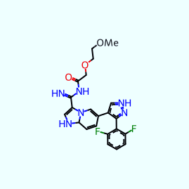 COCCOCC(=O)NC(=N)C1=CNC2C=CC(c3c[nH]nc3-c3c(F)cccc3F)=CN12